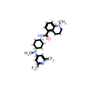 CN1CCCc2c(C(=O)N[C@H]3CC[C@@H](N(C)c4cc(C(F)(F)F)nc(C(F)(F)F)c4)CC3)cccc21